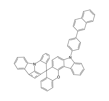 c1ccc2c(c1)Oc1c(ccc3c1c1ccccc1n3-c1ccc(-c3ccc4ccccc4c3)cc1)C21c2ccccc2-n2c3ccccc3c3cccc1c32